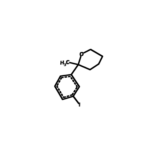 CC1(c2cccc(I)c2)CCCCO1